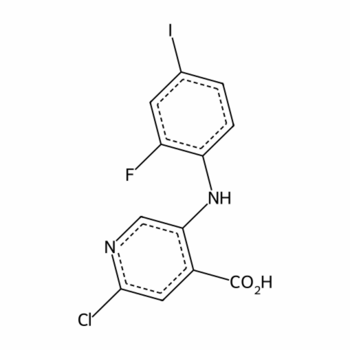 O=C(O)c1cc(Cl)ncc1Nc1ccc(I)cc1F